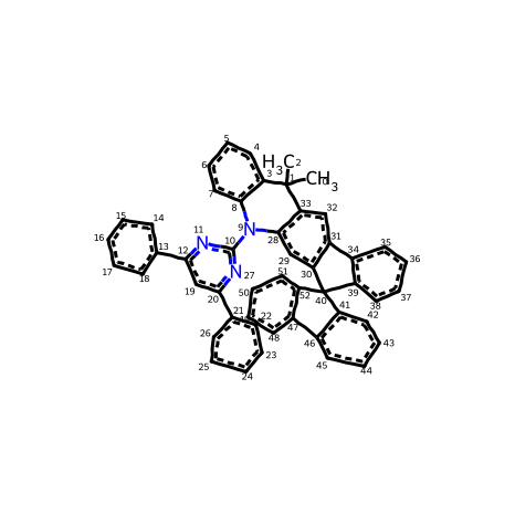 CC1(C)c2ccccc2N(c2nc(-c3ccccc3)cc(-c3ccccc3)n2)c2cc3c(cc21)-c1ccccc1C31c2ccccc2-c2ccccc21